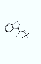 CC(C)(C)OC(=O)N1COc2ccncc21